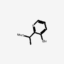 CSC(C)c1ncccc1C(C)(C)C